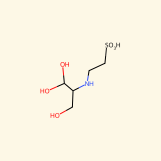 O=S(=O)(O)CCNC(CO)C(O)O